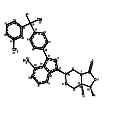 C[C@@H]1OC(=O)N2C[C@H](c3nc(-c4ccc(C(C)(O)c5cccc(C(F)(F)F)c5)cc4)c4c(N)nccn34)OC[C@@H]12